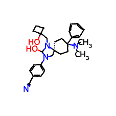 CN(C)[C@]1(c2ccccc2)CC[C@]2(CC1)CN(c1ccc(C#N)cc1)C(O)N2CC1(O)CCC1